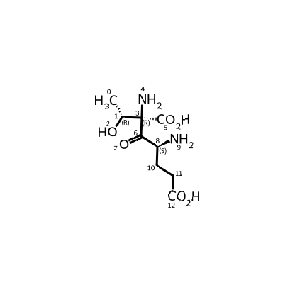 C[C@@H](O)[C@](N)(C(=O)O)C(=O)[C@@H](N)CCC(=O)O